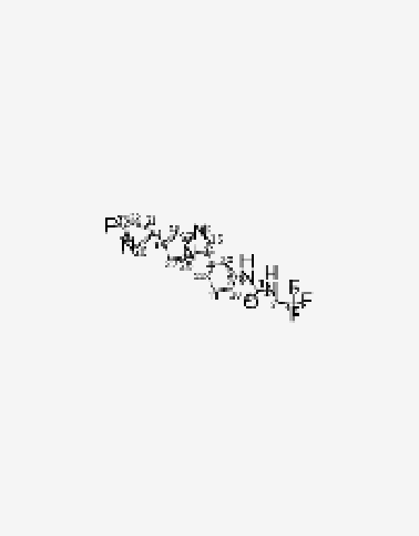 O=C(NCC(F)(F)F)Nc1cccc(-c2cnc3cc(-c4ccc(F)nc4)ccn23)c1